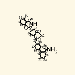 CC(NC(=O)c1ccc2c(c1)CCCN2Cc1ccc(-c2ccccc2C(N)=O)cc1)c1ccccc1F